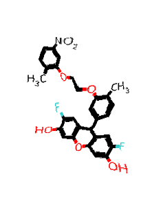 Cc1ccc(C2c3cc(F)c(O)cc3Oc3cc(O)c(F)cc32)cc1OCCOc1cc([N+](=O)[O-])ccc1C